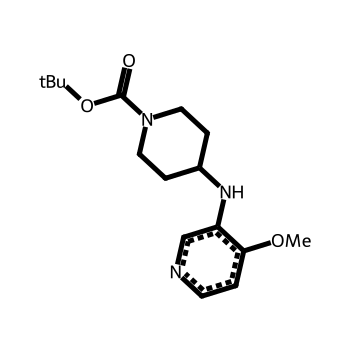 COc1ccncc1NC1CCN(C(=O)OC(C)(C)C)CC1